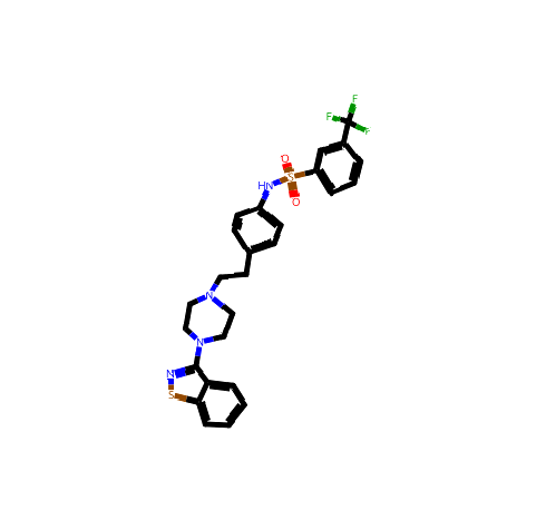 O=S(=O)(Nc1ccc(CCN2CCN(c3nsc4ccccc34)CC2)cc1)c1cccc(C(F)(F)F)c1